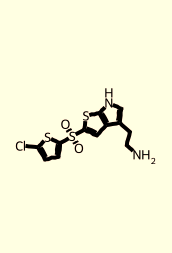 NCCc1c[nH]c2sc(S(=O)(=O)c3ccc(Cl)s3)cc12